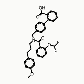 COc1ccc(CCCN(Cc2ccc(-c3ccccc3C(=O)O)cc2)C(=O)c2ccccc2OC(F)F)cc1